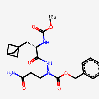 CC(C)(C)OC(=O)N[C@@H](CC12CC(C1)C2)C(=O)NN(CCC(N)=O)C(=O)OCc1ccccc1